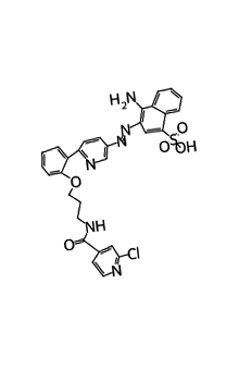 Nc1c(/N=N/c2ccc(-c3ccccc3OCCCNC(=O)c3ccnc(Cl)c3)nc2)cc(S(=O)(=O)O)c2ccccc12